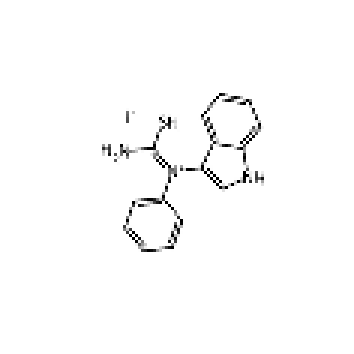 NC(S)=[N+](c1ccccc1)c1c[nH]c2ccccc12.[I-]